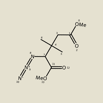 COC(=O)CC(C)(C)C(N=[N+]=[N-])C(=O)OC